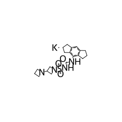 O=C(Nc1c2c(cc3c1CCC3)CCC2)NS(=O)(=O)N1CC(N2CCC2)C1.[K]